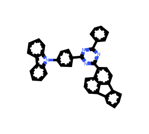 c1ccc(-c2nc(-c3ccc(-n4c5ccccc5c5ccccc54)cc3)nc(-c3ccc4c5c(cccc35)-c3ccccc3-4)n2)cc1